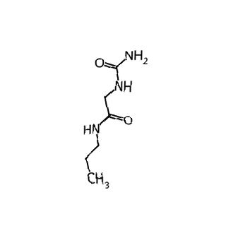 CCCNC(=O)CNC(N)=O